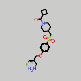 NC/C(=C\F)COc1ccc(S(=O)(=O)CC2CCN(C(=O)C3CCC3)CC2)cc1